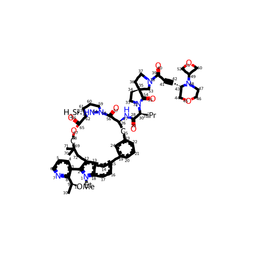 CCn1c(-c2cccnc2[C@H](C)OC)c2c3cc(ccc31)-c1cccc(c1)C[C@H](NC(=O)[C@H](C(C)C)N1CC[C@]3(CCN(C(=O)C#C[C@H]4COCCN4C4COC4)C3)C1=O)C(=O)N1CCC[C@@]([SiH3])(N1)C(=O)OCC(C)(C)C2